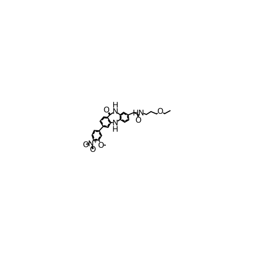 CCOCCCNC(=O)Cc1ccc2c(c1)NC(=O)c1ccc(-c3ccc([N+](=O)[O-])c(OC)c3)cc1N2